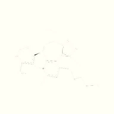 COc1cccc([C@H]2O[C@H](CC(=O)O)c3nnc(C(F)(F)F)n3-c3c(OCCCO)cc(Cl)cc32)c1OC